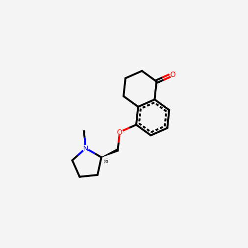 CN1CCC[C@@H]1COc1cccc2c1CCCC2=O